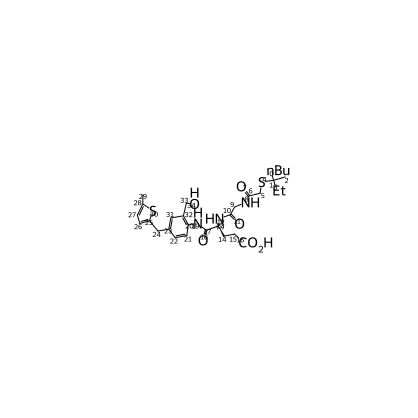 CCCCC(C)(CC)SCC(=O)NCC(=O)N[C@@H](CCC(=O)O)C(=O)Nc1ccc(Cc2ccc(C)s2)cc1CO